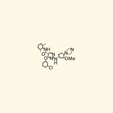 COc1cc(Nc2ncc(C(=O)Nc3c(C)cccc3C)c(Oc3cccc(Cl)c3)n2)ccc1N1CCN(C)CC1